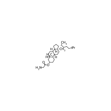 CC(C)CCCC(C)[C@H]1CC[C@H]2[C@@H]3CC[C@H]4CC(OC(=O)CN)CC[C@]4(C)[C@H]3CC[C@]12C